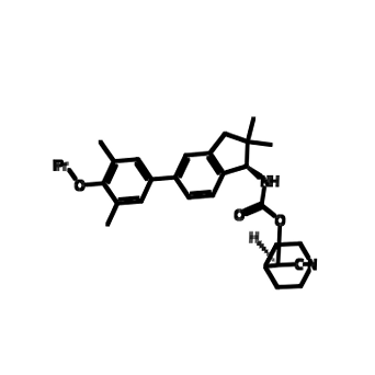 Cc1cc(-c2ccc3c(c2)CC(C)(C)[C@H]3NC(=O)O[C@H]2CN3CCC2CC3)cc(C)c1OC(C)C